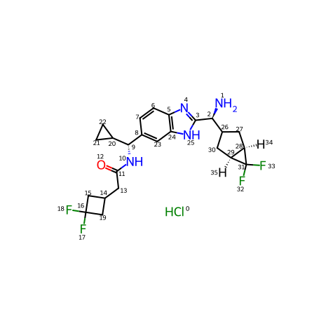 Cl.N[C@H](c1nc2ccc([C@H](NC(=O)CC3CC(F)(F)C3)C3CC3)cc2[nH]1)C1C[C@@H]2[C@H](C1)C2(F)F